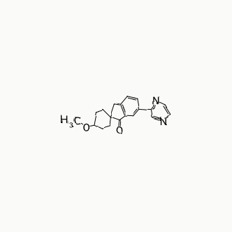 COC1CCC2(CC1)Cc1ccc(-c3cnccn3)cc1C2=O